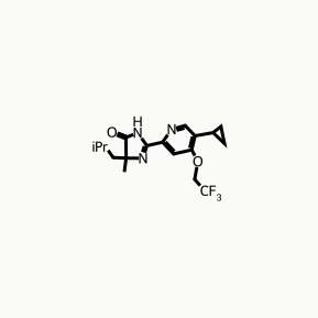 CC(C)CC1(C)N=C(c2cc(OCC(F)(F)F)c(C3CC3)cn2)NC1=O